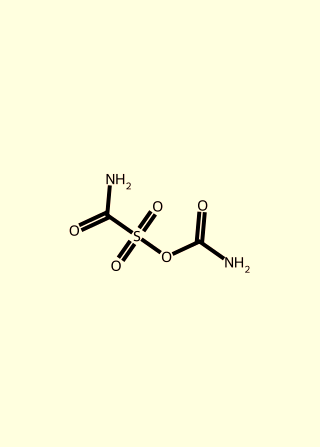 NC(=O)OS(=O)(=O)C(N)=O